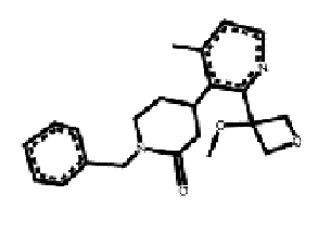 COC1(c2nccc(C)c2C2CCN(Cc3ccccc3)C(=O)C2)COC1